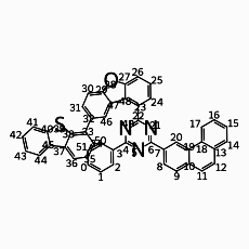 c1ccc(-c2nc(-c3ccc4ccc5ccccc5c4c3)nc(-c3cccc4oc5ccc(-c6cccc7c6sc6ccccc67)cc5c34)n2)cc1